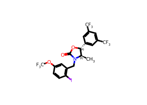 C[C@@H]1[C@@H](c2cc(C(F)(F)F)cc(C(F)(F)F)c2)OC(=O)N1Cc1cc(OC(F)(F)F)ccc1I